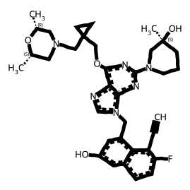 C#Cc1c(F)ccc2cc(O)cc(Cn3cnc4c(OCC5(CN6C[C@@H](C)O[C@@H](C)C6)CC5)nc(N5CCC[C@](C)(O)C5)nc43)c12